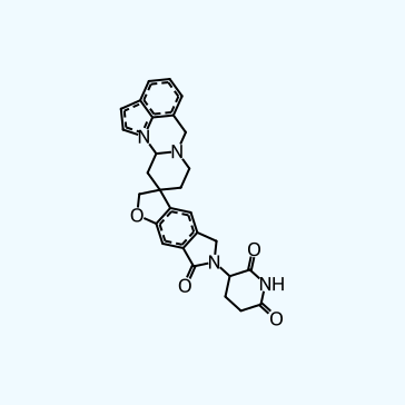 O=C1CCC(N2Cc3cc4c(cc3C2=O)OCC42CCN3Cc4cccc5ccn(c45)C3C2)C(=O)N1